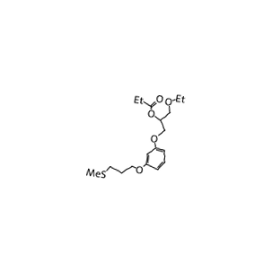 CCOCC(COc1cccc(OCCCSC)c1)OC(=O)CC